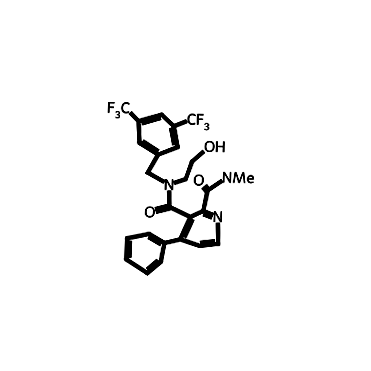 CNC(=O)c1nccc(-c2ccccc2)c1C(=O)N(CCO)Cc1cc(C(F)(F)F)cc(C(F)(F)F)c1